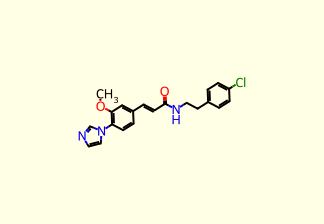 COc1cc(/C=C/C(=O)NCCc2ccc(Cl)cc2)ccc1-n1ccnc1